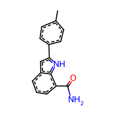 Cc1ccc(-c2cc3cccc(C(N)=O)c3[nH]2)cc1